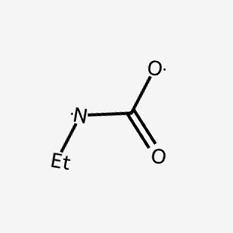 CC[N]C([O])=O